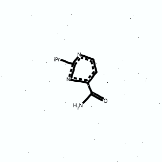 CC(C)c1nccc(C(N)=O)n1